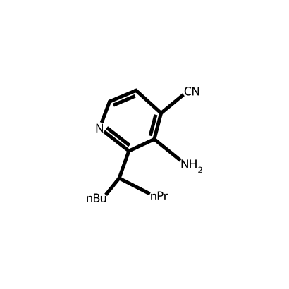 CCCCC(CCC)c1nccc(C#N)c1N